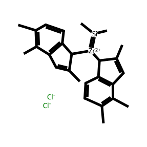 CC1=Cc2c(ccc(C)c2C)[CH]1[Zr+2]([CH]1C(C)=Cc2c1ccc(C)c2C)=[Si](C)C.[Cl-].[Cl-]